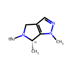 C[C@H]1c2c(cnn2C)CN1C(C)(C)C